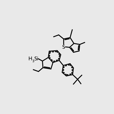 CCC1=C(C)C2C(C)=CC=C2S1.CCC1=Cc2c(-c3ccc(C(C)(C)C)cc3)cccc2C1[SiH3]